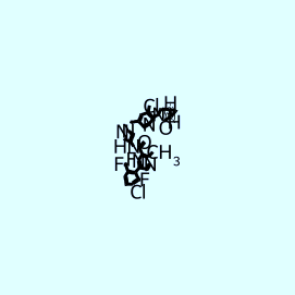 Cc1ncc(-c2c(C(F)F)ccc(Cl)c2F)nc1C(=O)Nc1cnn(Cc2cnc(N3C[C@H]4C[C@H]4C3=O)c(Cl)c2)c1